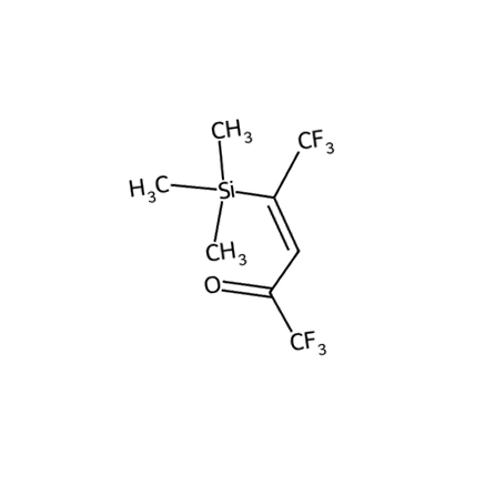 C[Si](C)(C)C(=CC(=O)C(F)(F)F)C(F)(F)F